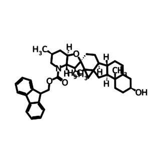 C[C@H]1C[C@H]2O[C@]3(CC[C@H]4[C@@H]5CC=C6C[C@@H](O)CC[C@]6(C)[C@H]5CC45CC53C)[C@H](C)[C@@H]2N(C(=O)OCC2c3ccccc3-c3ccccc32)C1